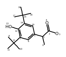 CC(C([O])=O)c1cc(C(C)(C)C)c(O)c(C(C)(C)C)c1